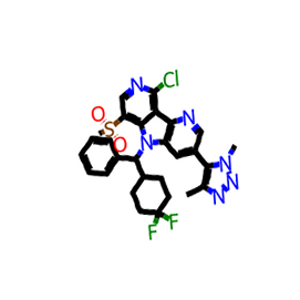 Cc1nnn(C)c1-c1cnc2c3c(Cl)ncc(S(C)(=O)=O)c3n(C(c3ccccc3)C3CCC(F)(F)CC3)c2c1